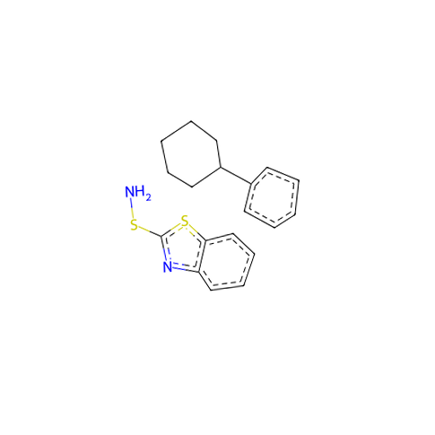 NSc1nc2ccccc2s1.c1ccc(C2CCCCC2)cc1